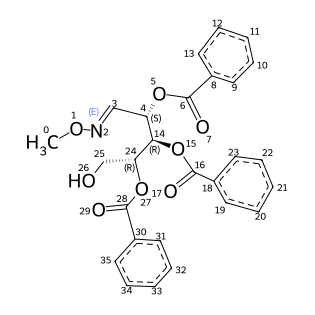 CO/N=C/[C@H](OC(=O)c1ccccc1)[C@@H](OC(=O)c1ccccc1)[C@@H](CO)OC(=O)c1ccccc1